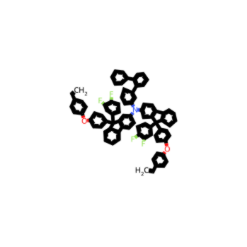 C=Cc1ccc(Oc2ccc(C3(c4ccc(F)c(F)c4)c4ccccc4-c4ccc(N(c5cccc(-c6ccccc6-c6ccccc6)c5)c5ccc6c(c5)C(c5ccc(Oc7ccc(C=C)cc7)cc5)(c5ccc(F)c(F)c5)c5ccccc5-6)cc43)cc2)cc1